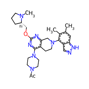 CC(=O)N1CCN(c2nc(OC[C@@H]3CCCN3C)nc3c2CCN(c2c(C)c(C)cc4[nH]ncc24)C3)CC1